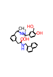 C[C@H](Cc1cccc(CC(=O)NCc2cccc3ccccc23)c1)NC[C@@H](O)c1ccc(O)c(CO)c1